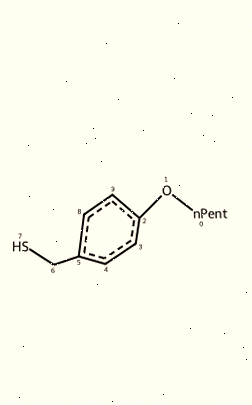 CCCCCOc1ccc(CS)cc1